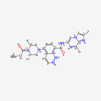 Cc1cn2cc(NC(=O)c3ccc(N4CC(C)N(C(=O)OC(C)(C)C)[C@@H](C)C4)c4ccnnc34)nc(C)c2n1